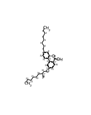 CCCCCCCCc1ccc(-c2cc(OC[C@@H](F)CCCCCC)ccc2C(=O)O)cc1